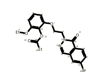 CCOc1cccc(OCCn2ncc3cc(Br)ccc3c2=O)c1OC(=O)CC